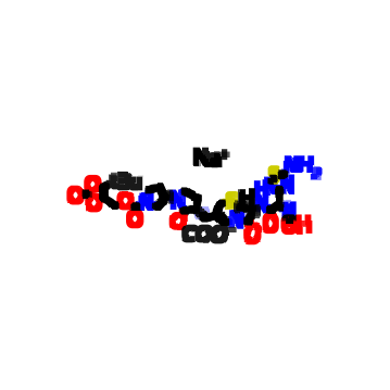 CC(C)(C)c1oc(=O)oc1COC(=O)N1CC[C@@H](N2CC/C(=C\C3=C(C(=O)[O-])N4C(=O)[C@@H](NC(=O)/C(=N\O)c5nsc(N)n5)[C@H]4SC3)C2=O)C1.[Na+]